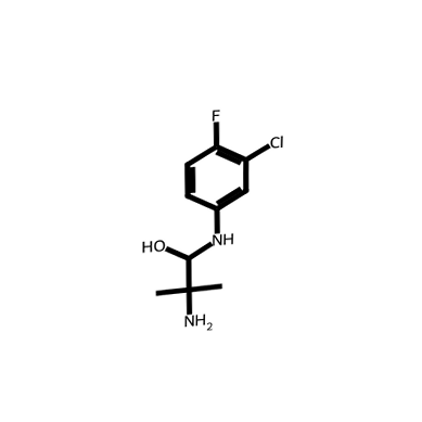 CC(C)(N)C(O)Nc1ccc(F)c(Cl)c1